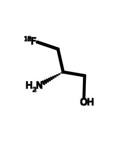 N[C@@H](CO)C[18F]